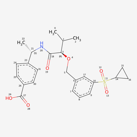 CC(C)[C@@H](OCc1cccc(S(=O)(=O)C2CC2)c1)C(=O)N[C@@H](C)c1ccc(C(=O)O)cc1